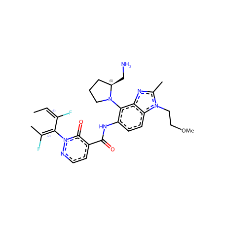 C/C=C(F)\C(=C(/C)F)n1nccc(C(=O)Nc2ccc3c(nc(C)n3CCOC)c2N2CCC[C@H]2CN)c1=O